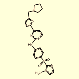 Cn1ccnc1S(=O)(=O)c1ccc(Nc2nccc(-c3ccc(CN4CCCC4)s3)n2)cc1